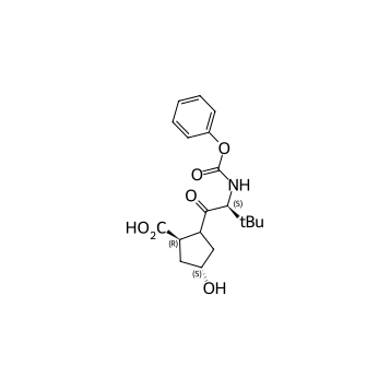 CC(C)(C)[C@H](NC(=O)Oc1ccccc1)C(=O)C1C[C@H](O)C[C@H]1C(=O)O